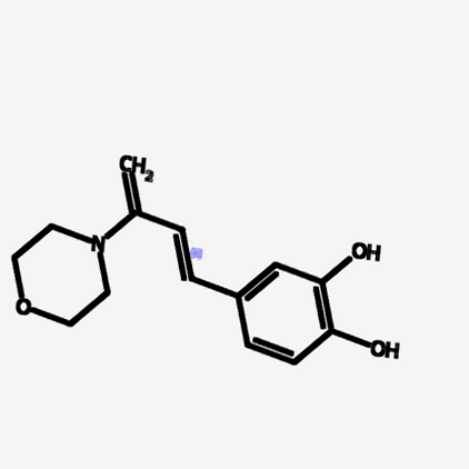 C=C(/C=C/c1ccc(O)c(O)c1)N1CCOCC1